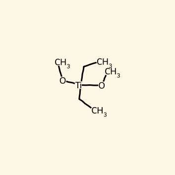 C[CH2][Ti]([CH2]C)([O]C)[O]C